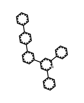 c1ccc(-c2ccc(-c3cccc(-c4cc(-c5ccccc5)nc(-c5ccccc5)c4)c3)cc2)cc1